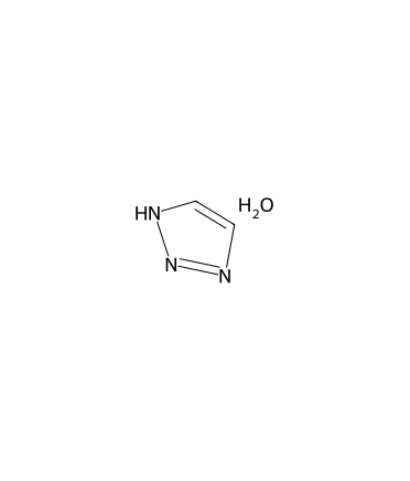 O.c1c[nH]nn1